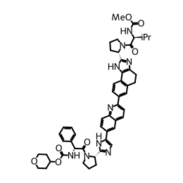 COC(=O)N[C@H](C(=O)N1CCC[C@H]1c1nc2c([nH]1)-c1ccc(-c3ccc4cc(-c5cnc([C@@H]6CCCN6C(=O)[C@H](NC(=O)OC6CCOCC6)c6ccccc6)[nH]5)ccc4n3)cc1CC2)C(C)C